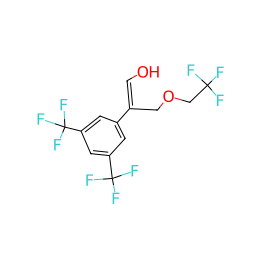 OC=C(COCC(F)(F)F)c1cc(C(F)(F)F)cc(C(F)(F)F)c1